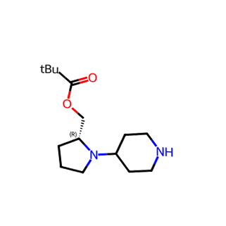 CC(C)(C)C(=O)OC[C@H]1CCCN1C1CCNCC1